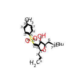 C=CC[C@@H]1O[C@H](C[C@H](C)CC)[C@H](O)C1=CS(=O)(=O)c1ccc(C)cc1